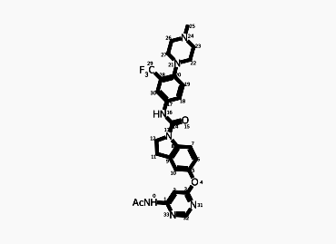 CC(=O)Nc1cc(Oc2ccc3c(c2)CCN3C(=O)Nc2ccc(N3CCN(C)CC3)c(C(F)(F)F)c2)ncn1